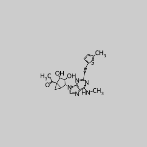 CNc1nc(C#Cc2ccc(C)s2)nc2c1ncn2[C@@H]1C2C[C@]2(C(C)=O)[C@@H](O)[C@H]1O